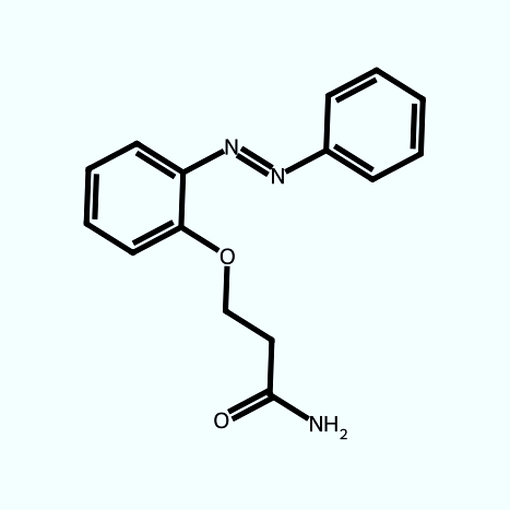 NC(=O)CCOc1ccccc1N=Nc1ccccc1